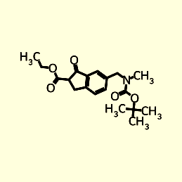 CCOC(=O)C1Cc2ccc(CN(C)C(=O)OC(C)(C)C)cc2C1=O